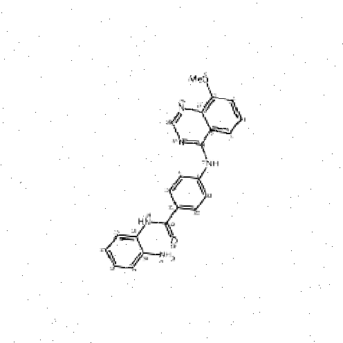 COc1cccc2c(Nc3ccc(C(=O)Nc4ccccc4N)cc3)ncnc12